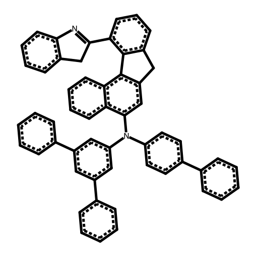 c1ccc(-c2ccc(N(c3cc(-c4ccccc4)cc(-c4ccccc4)c3)c3cc4c(c5ccccc35)-c3c(cccc3C3=Nc5ccccc5C3)C4)cc2)cc1